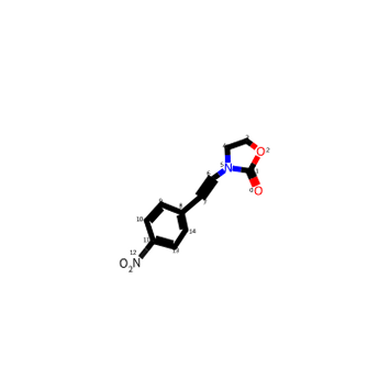 O=C1OCCN1C#Cc1ccc([N+](=O)[O-])cc1